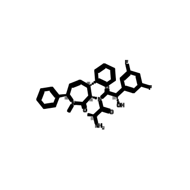 C[C@H](N)C(=O)N(C(=O)[C@@H](O)c1cc(F)cc(F)c1)[C@@H]1C(=O)N(C)[C@@H](c2ccccc2)C=C[C@@H]1c1ccccc1